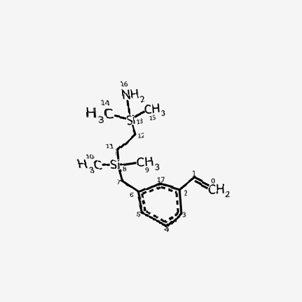 C=Cc1cccc(C[Si](C)(C)CC[Si](C)(C)N)c1